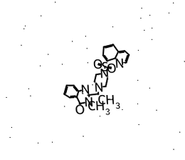 CC(c1nc2ccccc2c(=O)n1C)N1CCN(S(=O)(=O)c2cccc3cccnc23)CC1